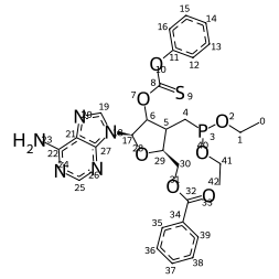 CCOP(CC1C(OC(=S)Oc2ccccc2)[C@H](n2cnc3c(N)ncnc32)O[C@@H]1COC(=O)c1ccccc1)OCC